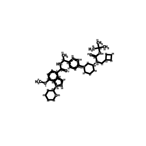 COc1ccc(C(=O)NC(C)c2ccc(N3CCC[C@@H](N(CC4CCC4)C(=O)OC(C)(C)C)C3)nn2)c2cnn(C3CCCCO3)c12